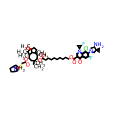 C=C[C@@]1(C)C[C@H](OC(=O)CSC2CC3CCC(C2)N3C)[C@@](C)(C(C)CC)C2C(=O)CCC2(C)[C@H](C)[C@H]1OC(=O)CCCCCCCCCOC(=O)c1cn(C2C[C@@H]2F)c2c(Cl)c(N3C[C@@H](N)C4(CC4)C3)c(F)cc2c1=O